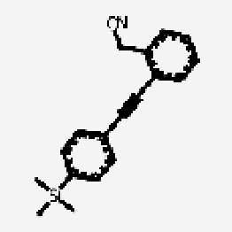 C[Si](C)(C)c1ccc(C#Cc2ccccc2CC#N)cc1